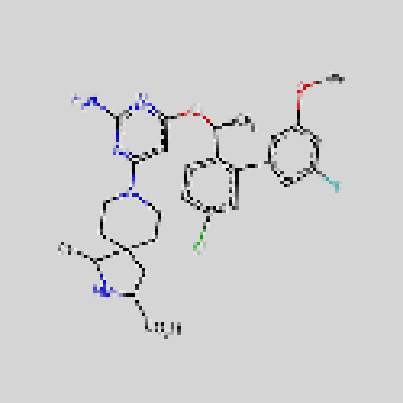 CCC1NC(C(=O)O)CC12CCN(c1cc(O[C@H](c3ccc(Cl)cc3-c3cc(F)cc(OC(C)C)c3)C(F)(F)F)nc(N)n1)CC2